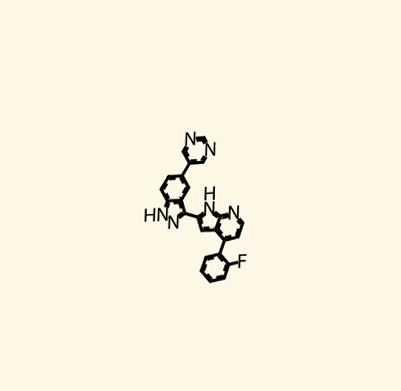 Fc1ccccc1-c1ccnc2[nH]c(-c3n[nH]c4ccc(-c5cncnc5)cc34)cc12